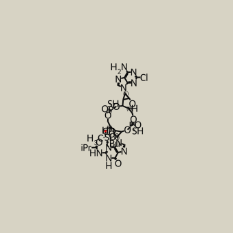 CC(C)C(=O)Nc1nc2c(ncn2[C@@H]2O[C@@H]3CO[P@](=O)(S)OC4C5C(O[C@@H]4CO[P@@](=O)(S)OC2C3O[Si](C)(C)C(C)(C)C)[C@H]5n2cnc3c(N)nc(Cl)nc32)c(=O)[nH]1